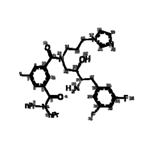 CCCN(CCC)C(=O)c1cc(C)cc(C(=O)N(CCCn2ccnc2)C[C@@H](O)[C@@H](N)Cc2cc(F)cc(F)c2)c1